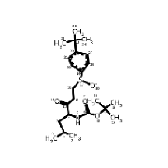 CC(C)CC(NC(=O)OC(C)(C)C)C(=O)CC[S+]([O-])c1ccc(C(C)(C)C)cc1